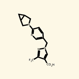 O=C(O)c1cn(Cc2ccc(N3CC4CC4C3)nc2)nc1C(F)(F)F